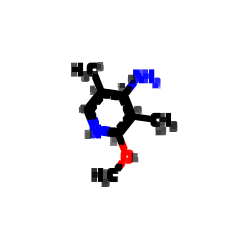 COc1ncc(C)c(N)c1C